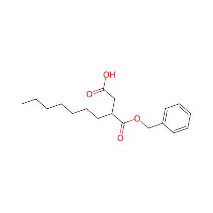 CCCCCCCC(CC(=O)O)C(=O)OCc1ccccc1